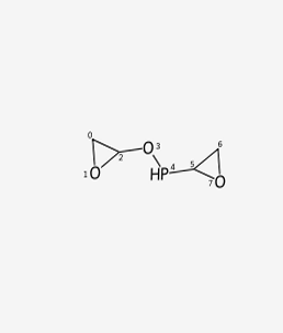 C1OC1OPC1CO1